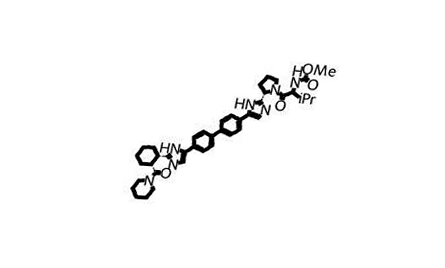 COC(=O)NC(C(=O)N1CCC[C@H]1c1ncc(-c2ccc(-c3ccc(-c4cnc([C@H]5CCCC[C@H]5C(=O)N5CCCCC5)[nH]4)cc3)cc2)[nH]1)C(C)C